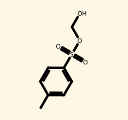 Cc1ccc(S(=O)(=O)OCO)cc1